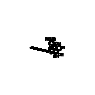 CCCCCCCCCC(=O)O[C@H]1[C@@H](O[C@@]2(CO)OC[C@@H](O)[C@@H](O)[C@@H]2O)O[C@H](CO)[C@@H](O)[C@@H]1O